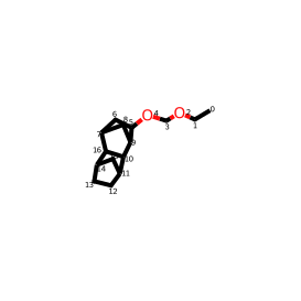 CCOCOC1CC2CC1C1C3CCC(C3)C21